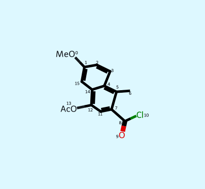 COc1ccc2c(C)c(C(=O)Cl)cc(OC(C)=O)c2c1